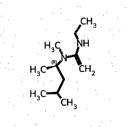 C=C(NCC)N(C)[C@H](C)CC(C)C